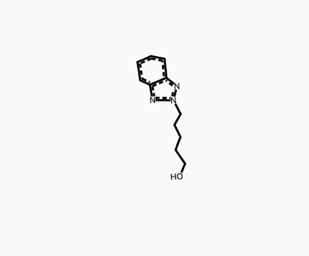 OCCCCCn1nc2ccccc2n1